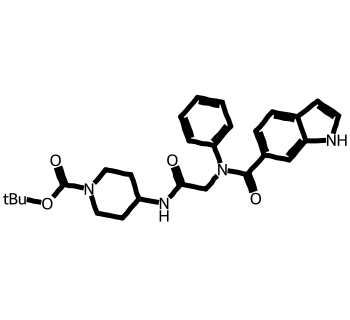 CC(C)(C)OC(=O)N1CCC(NC(=O)CN(C(=O)c2ccc3cc[nH]c3c2)c2ccccc2)CC1